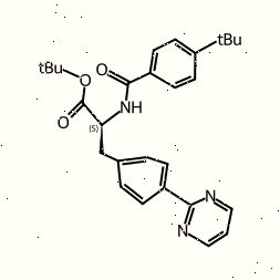 CC(C)(C)OC(=O)[C@H](Cc1ccc(-c2ncccn2)cc1)NC(=O)c1ccc(C(C)(C)C)cc1